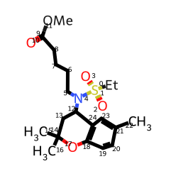 CCS(=O)(=O)N(CCCCC(=O)OC)C1CC(C)(C)Oc2ccc(C)cc21